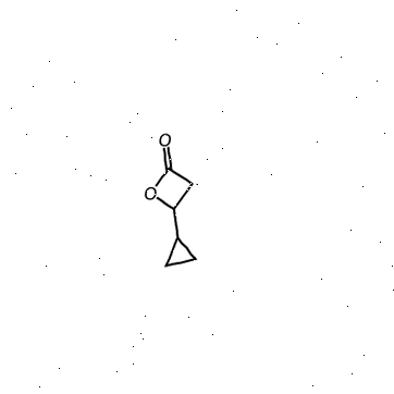 O=C1[CH]C(C2CC2)O1